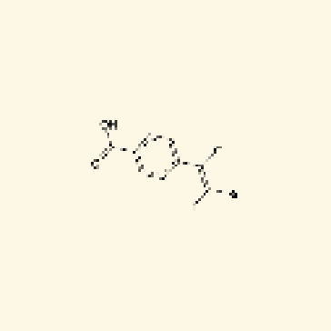 O=C(O)c1ccc(C(Cl)=C(Br)I)cc1